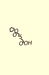 O=C(O)CCSCCC(=O)OC1CCCCC1